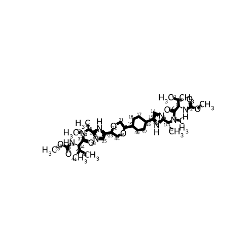 COC(=O)N[C@H](C(=O)N(C)[C@H](C)c1ncc(C2CCC(C3COC(c4cnc([C@@H](C)N(C)C(=O)[C@@H](NC(=O)OC)C(C)C)[nH]4)CO3)CC2)[nH]1)C(C)C